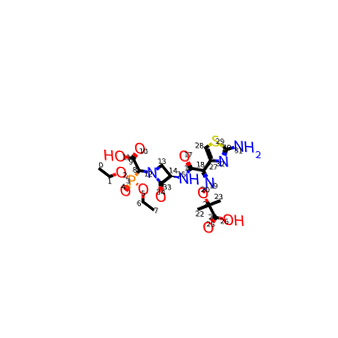 CCOP(=O)(OCC)C(C(=O)O)N1C[C@@H](NC(=O)C(=NOC(C)(C)C(=O)O)c2csc(N)n2)C1=O